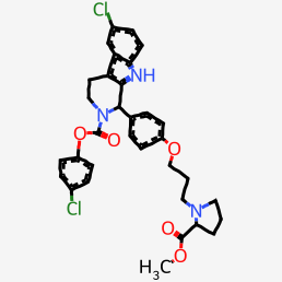 COC(=O)C1CCCN1CCCOc1ccc(C2c3[nH]c4ccc(Cl)cc4c3CCN2C(=O)Oc2ccc(Cl)cc2)cc1